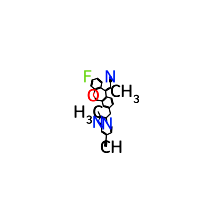 C#Cc1ccn2c(Cc3ccc4c(c3)COc3cc(F)ccc3C4=C(C)C#N)c(C)nc2c1